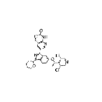 C[C@@H](Oc1ccc2c(c1)c(-c1cnc3c(c1)COC(=O)N3)nn2C1CCCCO1)c1c(Cl)cncc1Cl